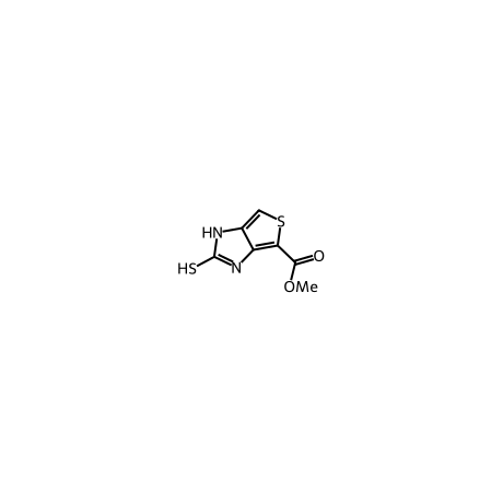 COC(=O)c1scc2[nH]c(S)nc12